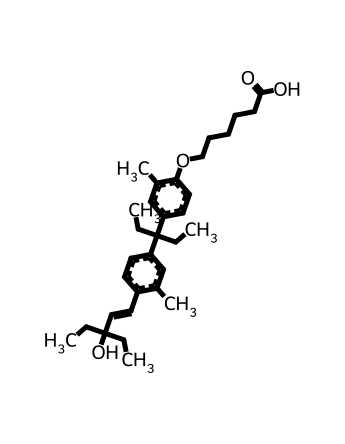 CCC(O)(C=Cc1ccc(C(CC)(CC)c2ccc(OCCCCCC(=O)O)c(C)c2)cc1C)CC